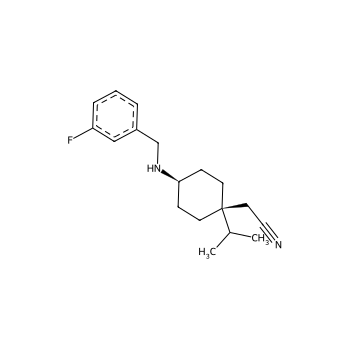 CC(C)[C@]1(CC#N)CC[C@@H](NCc2cccc(F)c2)CC1